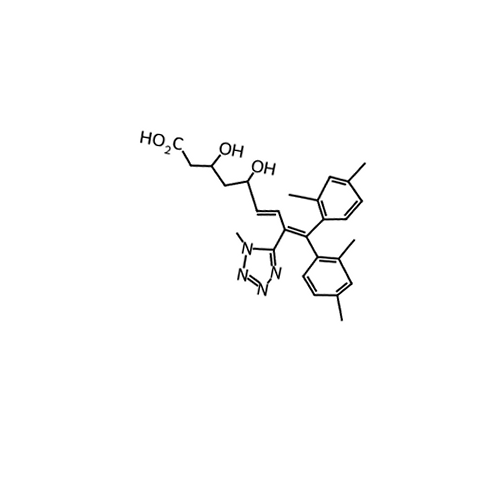 Cc1ccc(C(=C(/C=C/C(O)CC(O)CC(=O)O)c2nnnn2C)c2ccc(C)cc2C)c(C)c1